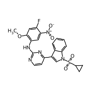 COc1cc(F)c([N+](=O)[O-])cc1Nc1nccc(-c2cn(S(=O)(=O)C3CC3)c3ccccc23)n1